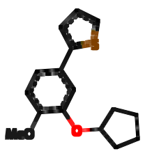 COc1ccc(-c2cccs2)cc1OC1CCCC1